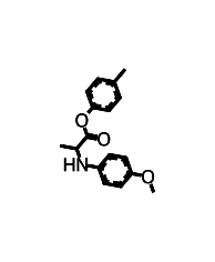 COc1ccc(NC(C)C(=O)Oc2ccc(C)cc2)cc1